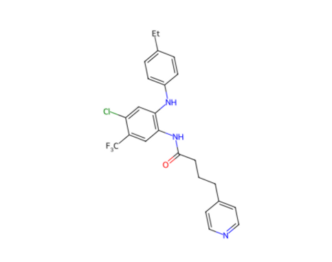 [CH2]Cc1ccc(Nc2cc(Cl)c(C(F)(F)F)cc2NC(=O)CCCc2ccncc2)cc1